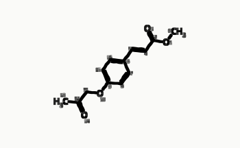 COC(=O)/C=C/c1ccc(OCC(C)=O)cc1